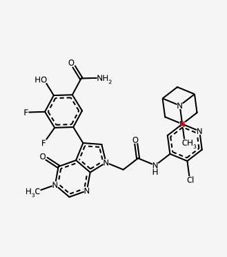 CN1CC2CC(C1)N2c1cc(NC(=O)Cn2cc(-c3cc(C(N)=O)c(O)c(F)c3F)c3c(=O)n(C)cnc32)c(Cl)cn1